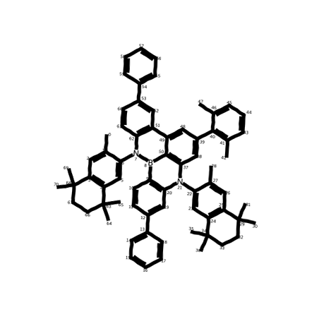 Cc1cc2c(cc1N1B3c4ccc(-c5ccccc5)cc4N(c4cc5c(cc4C)C(C)(C)CCC5(C)C)c4cc(-c5c(C)cccc5C)cc(c43)-c3cc(-c4ccccc4)ccc31)C(C)(C)CCC2(C)C